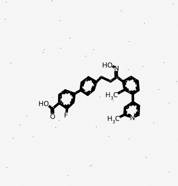 Cc1cc(-c2cccc(/C(CCc3ccc(-c4ccc(C(=O)O)c(F)c4)cc3)=N/O)c2C)ccn1